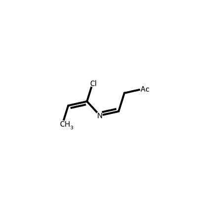 C/C=C(Cl)\N=C/CC(C)=O